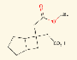 CC(C)(C)OC(=O)CC1(CC(=O)O)CC2CCCC21